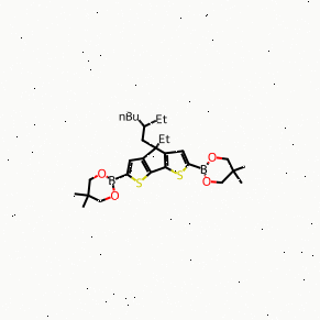 CCCCC(CC)CC1(CC)c2cc(B3OCC(C)(C)CO3)sc2-c2sc(B3OCC(C)(C)CO3)cc21